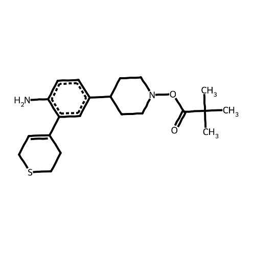 CC(C)(C)C(=O)ON1CCC(c2ccc(N)c(C3=CCSCC3)c2)CC1